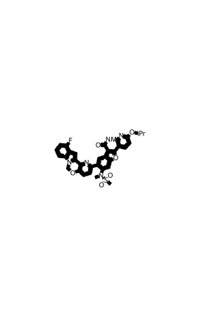 CNC(=O)c1c(-c2ccc(OC(C)C)nc2)oc2cc(N(C)S(C)(=O)=O)c(-c3ccc4c(n3)-c3cc5c(F)cccc5n3CO4)cc12